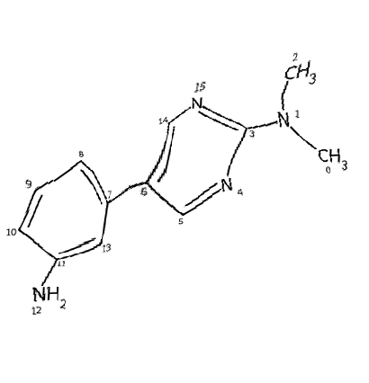 CN(C)c1ncc(-c2cccc(N)c2)cn1